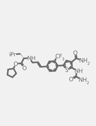 CC(C)C[C@H](NCC=Cc1ccc(-c2cc(C(N)=O)c(NC(N)=O)s2)c(C(F)(F)F)c1)C(=O)OC1CCCC1